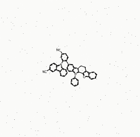 N#Cc1ccc(-c2ccc3c(c2)c2c(n3-c3ccccc3)-c3oc4ccccc4c3CC2)c(-n2c3ccccc3c3cc(C#N)ccc32)c1